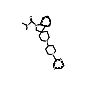 CN(C)C(=O)N1CC2(CCN(C3CCN(c4cnccn4)CC3)CC2)c2ccccc21